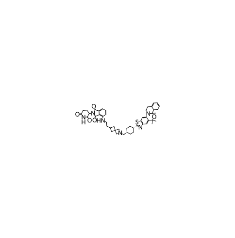 CC1(C)OC2(C)c3ccccc3CCN2c2cc3sc([C@H]4CC[C@H](CN5CC6(CC(CCNc7cccc8c7C(=O)N(C7CCC(=O)NC7=O)C8=O)C6)C5)CC4)nc3cc21